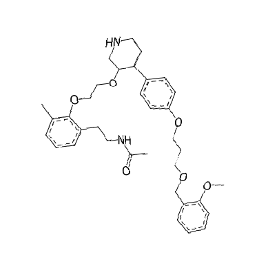 COc1ccccc1COCCCOc1ccc(C2CCNCC2OCCOc2c(C)cccc2CCNC(C)=O)cc1